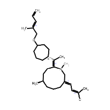 C=C/C=C(\C)COC1CCC[C@@H](/C(C)=C2\CCC(C)CCC/C(=C\C=C(/C)Cl)CN2C)CC1